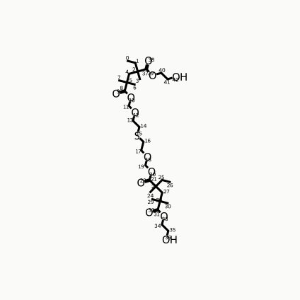 CCC(C)(CC(C)(C)C(=O)OCOCCSCCOCOC(=O)C(C)(CC)CC(C)(C)C(=O)OCCO)C(=O)OCCO